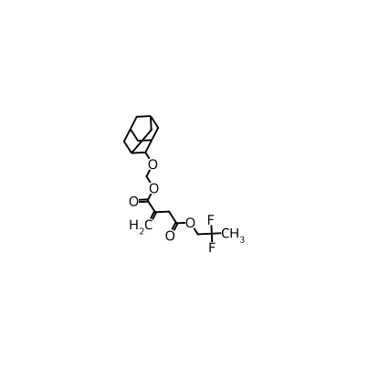 C=C(CC(=O)OCC(C)(F)F)C(=O)OCOC1C2CC3CC(C2)CC1C3